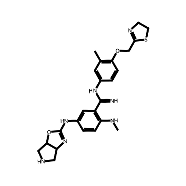 CNc1ccc(NC2=NC3CNCC3O2)cc1C(=N)Nc1ccc(OCC2=NCCS2)c(C)c1